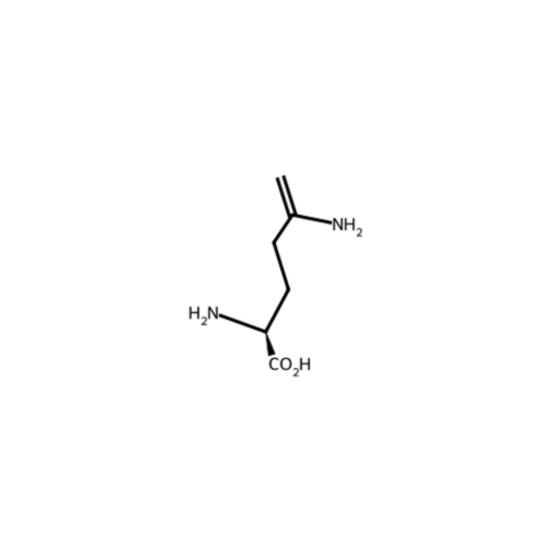 C=C(N)CC[C@H](N)C(=O)O